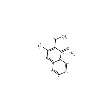 CCc1c(C)nc2ccccn2c1=O.Cl